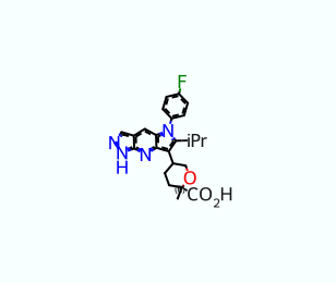 CC(C)c1c(C2CC[C@](C)(C(=O)O)OC2)c2nc3[nH]ncc3cc2n1-c1ccc(F)cc1